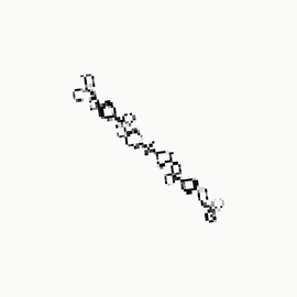 COC(=O)COc1ccc(C(=O)OC2CCC(C(C)(C)C3CCC(OC(=O)c4ccc(OCC(=O)OC)cc4)CC3)CC2)cc1